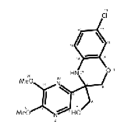 COc1ncc(C2(CO)COc3cc(Cl)ccc3N2)nc1OC